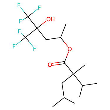 CC(C)CC(C)(C(=O)OC(C)CC(O)(C(F)(F)F)C(F)(F)F)C(C)C